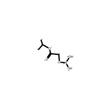 CC(C)OC(=O)CON(O)O